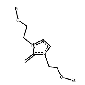 CCOCCn1ccn(CCOCC)c1=S